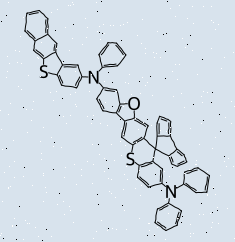 c1ccc(N(c2ccccc2)c2ccc3c(c2)C2(c4cc5oc6cc(N(c7ccccc7)c7ccc8sc9cc%10ccccc%10cc9c8c7)ccc6c5cc4S3)c3ccccc3-c3ccccc32)cc1